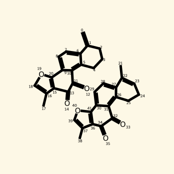 C=C1CCCc2c1ccc1c2C(=O)C(=O)c2c(C)coc2-1.CC1=CCCc2c1ccc1c2C(=O)C(=O)c2c(C)coc2-1